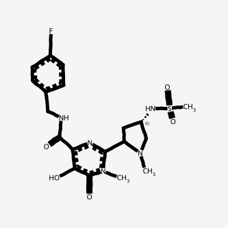 CN1C[C@@H](NS(C)(=O)=O)CC1c1nc(C(=O)NCc2ccc(F)cc2)c(O)c(=O)n1C